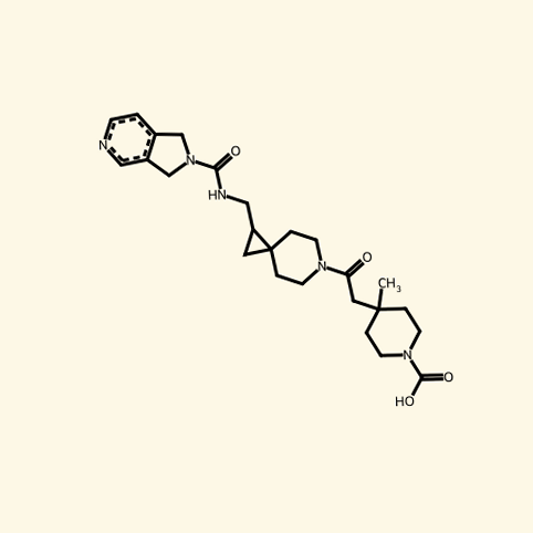 CC1(CC(=O)N2CCC3(CC2)CC3CNC(=O)N2Cc3ccncc3C2)CCN(C(=O)O)CC1